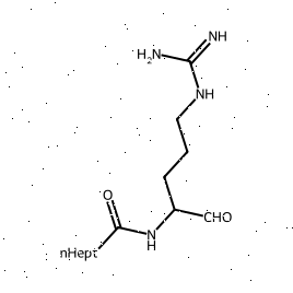 CCCCCCCC(=O)NC(C=O)CCCNC(=N)N